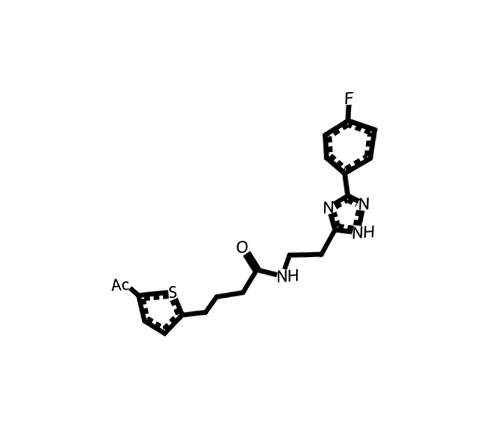 CC(=O)c1ccc(CCCC(=O)NCCc2nc(-c3ccc(F)cc3)n[nH]2)s1